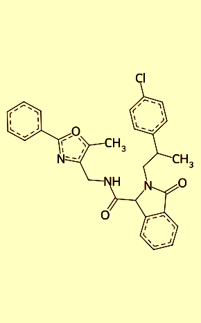 Cc1oc(-c2ccccc2)nc1CNC(=O)C1c2ccccc2C(=O)N1CC(C)c1ccc(Cl)cc1